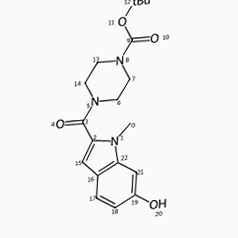 Cn1c(C(=O)N2CCN(C(=O)OC(C)(C)C)CC2)cc2ccc(O)cc21